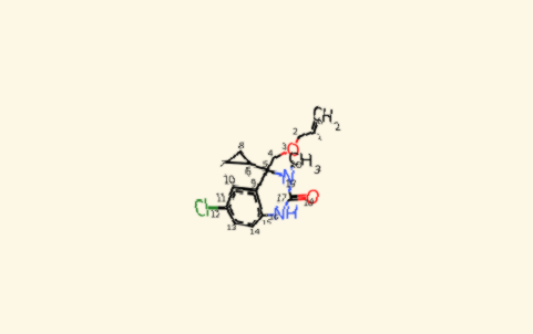 C=CCOCC1(C2CC2)c2cc(Cl)ccc2NC(=O)N1C